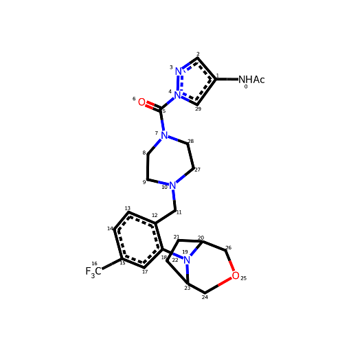 CC(=O)Nc1cnn(C(=O)N2CCN(Cc3ccc(C(F)(F)F)cc3N3C4CCC3COC4)CC2)c1